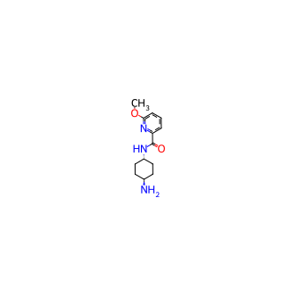 COc1cccc(C(=O)N[C@H]2CC[C@H](N)CC2)n1